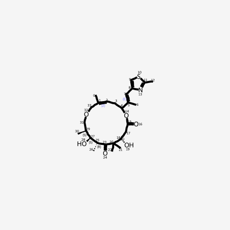 C/C1=C/CC(/C(C)=C/c2csc(C)n2)OC(=O)C[C@H](O)C(C)(C)C(=O)[C@H](C)[C@@H](O)[C@@H](C)COC1